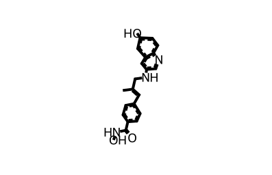 CC(=Cc1ccc(C(=O)NO)cc1)CNc1cnc2ccc(O)cc2c1